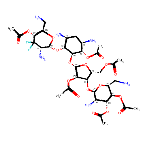 CC(=O)OC[C@H]1O[C@@H](O[C@@H]2[C@@H](OC(C)=O)[C@H](N)C[C@H](N)[C@H]2O[C@H]2O[C@H](CN)[C@@H](OC(C)=O)C(F)(F)[C@H]2N)[C@H](OC(C)=O)[C@@H]1O[C@H]1O[C@@H](CN)[C@@H](OC(C)=O)[C@H](OC(C)=O)[C@H]1N